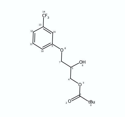 CC(C)(C)C(=O)OCC(O)COc1cccc(C(F)(F)F)c1